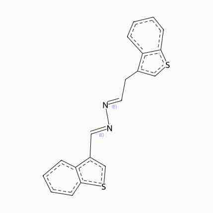 C(/Cc1csc2ccccc12)=N\N=C\c1csc2ccccc12